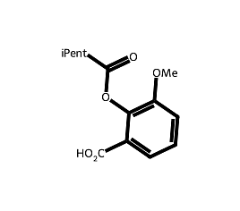 CCCC(C)C(=O)Oc1c(OC)cccc1C(=O)O